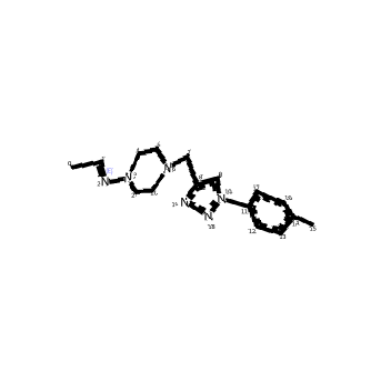 C/C=N/N1CCN(Cc2cn(-c3ccc(C)cc3)nn2)CC1